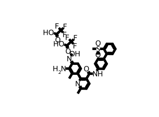 CC1=C(N)C(=NO)CC=C1c1nc(C)ccc1C(=O)Nc1ccc(-c2ccccc2S(C)(=O)=O)cc1.O=C(O)C(F)(F)F.O=C(O)C(F)(F)F